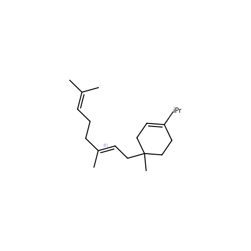 CC(C)=CCC/C(C)=C/CC1(C)CC=C(C(C)C)CC1